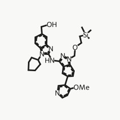 COc1ccncc1-c1ccc2c(c1)c(Nc1nc3cc(CO)ccc3n1C1CCCCC1)nn2COCC[Si](C)(C)C